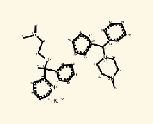 CN(C)CCOC(C)(c1ccccc1)c1ccccn1.CN1CCN(C(c2ccccc2)c2ccccc2)CC1.Cl